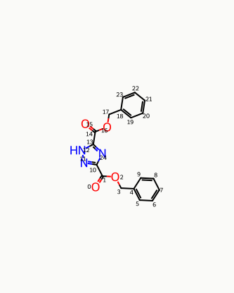 O=C(OCc1ccccc1)c1n[nH]c(C(=O)OCc2ccccc2)n1